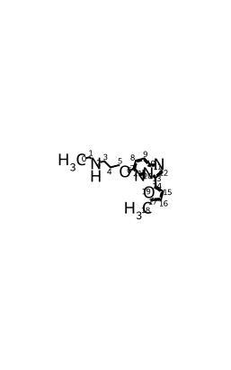 CCNCCCOc1ccc2ncc(-c3ccc(C)o3)n2n1